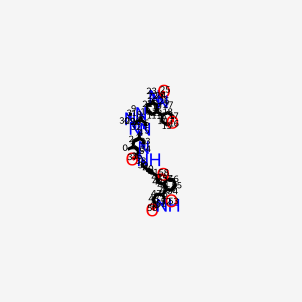 Cc1cc(-c2ncc(N(C)c3cc(C4CCOCC4)c4c(c3)n(C)c(=O)n4C)c(N(C)C)n2)cnc1C(=O)NCC#Cc1cc2c(C3CCC(=O)NC3=O)cccc2o1